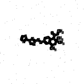 C=CC(=O)N1c2ccc(N=Nc3ncn(-c4nccs4)n3)cc2C(C)CC1(C)C